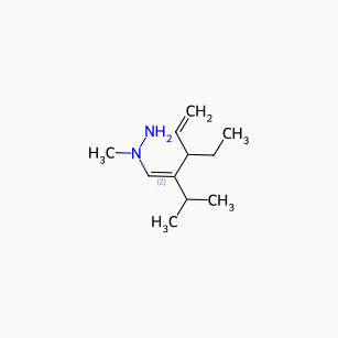 C=CC(CC)/C(=C\N(C)N)C(C)C